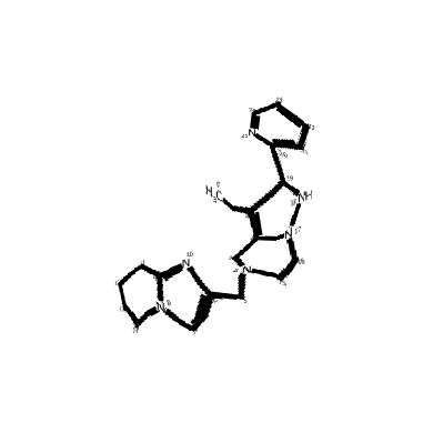 CC1=C2CN(Cc3cn4c(n3)CCCC4)CCN2NC1c1ccccn1